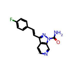 NC(=O)n1nc(C=Cc2ccc(F)cc2)c2c[c]ncc21